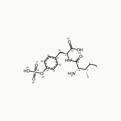 CC[C@H](C)[C@H](N)C(=O)N[C@@H](Cc1ccc(OS(=O)(=O)O)cc1)C(=O)O